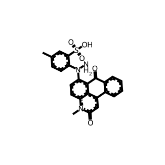 Cc1ccc(N(N)c2ccc3c4c(cc(=O)n3C)-c3ccccc3C(=O)c24)c(S(=O)(=O)O)c1